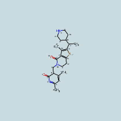 CC1=CC(C)=NC(=O)C1CN1CCc2sc(C(C)C3CCNCC3)c(C)c2C1=O